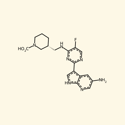 Nc1cnc2[nH]cc(-c3ncc(F)c(NC[C@H]4CCCN(C(=O)O)C4)n3)c2c1